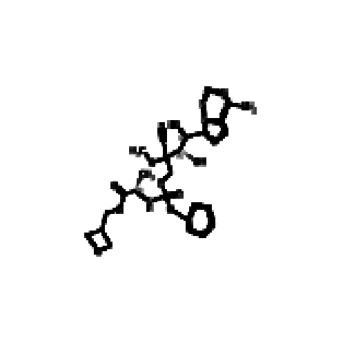 COC(C#N)(COP(=O)(N[C@@H](C)C(=O)OCC1COC1)Oc1ccccc1)[C@@H](O)[C@@H](O)c1ccc2c(N)ncnn12